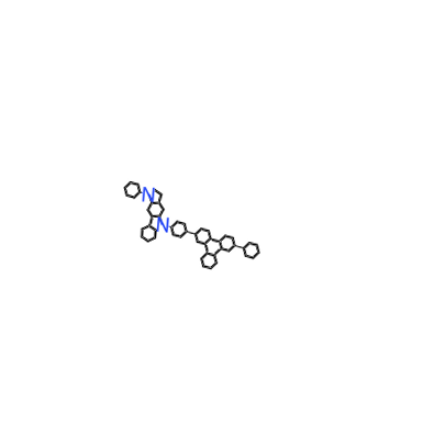 c1ccc(-c2ccc3c4ccc(-c5ccc(-n6c7ccccc7c7cc8c(ccn8-c8ccccc8)cc76)cc5)cc4c4ccccc4c3c2)cc1